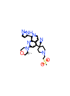 C[C@@H]1COCCN1c1cc(C2(C#N)CCN(CCS(C)(=O)=O)CC2)c2ccnc(-c3ccn[nH]3)c2n1